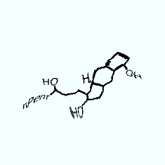 CCCCCC(O)CCC1C(O)CC2Cc3c(O)cccc3C[C@@H]21